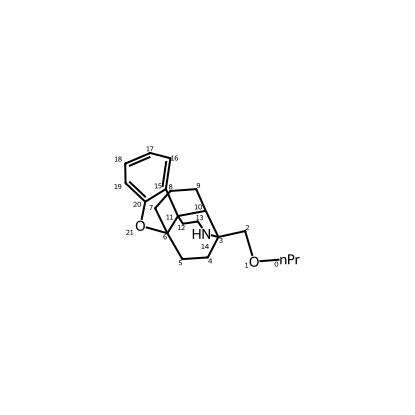 CCCOCC12CCC34CCCC1C3(CCN2)c1ccccc1O4